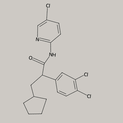 O=C(Nc1ccc(Cl)cn1)C(CC1CCCC1)c1ccc(Cl)c(Cl)c1